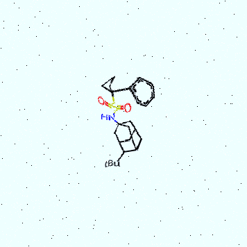 CC(C)(C)C1C2CC3CC1CC(NS(=O)(=O)C1(c4ccccc4)CC1)(C3)C2